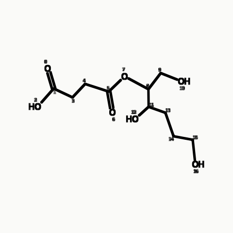 O=C(O)CCC(=O)OC(CO)C(O)CCCO